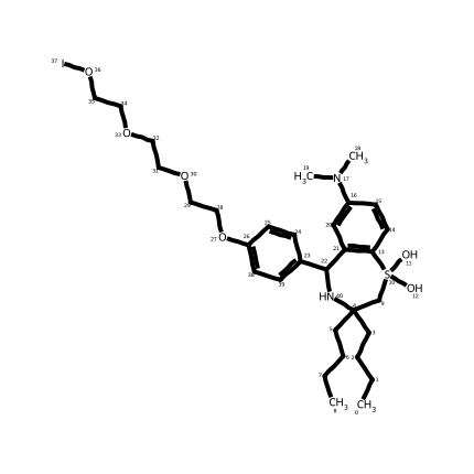 CCCCC1(CCCC)CS(O)(O)c2ccc(N(C)C)cc2C(c2ccc(OCCOCCOCCOI)cc2)N1